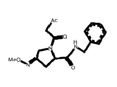 CON=C1CC(C(=O)NCc2ccccc2)N(C(=O)CC(C)=O)C1